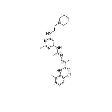 C/C(=C\N=C(/C)Nc1cc(NCCN2CCCCC2)nc(C)n1)C(=O)Nc1c(C)cccc1Cl